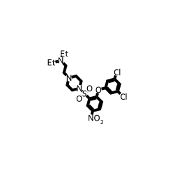 CCN(CC)CCN1CCN(S(=O)(=O)c2cc([N+](=O)[O-])ccc2Oc2cc(Cl)cc(Cl)c2)CC1